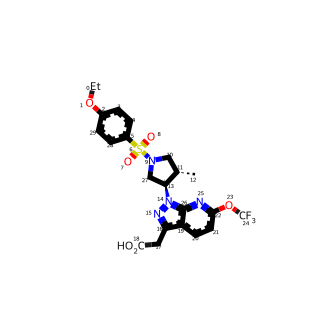 CCOc1ccc(S(=O)(=O)N2C[C@H](C)[C@@H](n3nc(CC(=O)O)c4ccc(OC(F)(F)F)nc43)C2)cc1